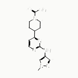 CCCC(=O)N1CCC(c2ccnc(Nc3cnn(C)c3)n2)CC1